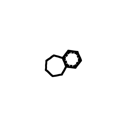 c1ccc2c(c1)CCCCC2